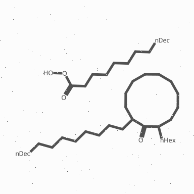 CCCCCCCCCCCCCCCCCC(=O)OO.CCCCCCCCCCCCCCCCCCC1CCCCCCCCCC(CCCCCC)C1=O